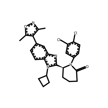 Cc1noc(C)c1-c1ccc2c(c1)nc([C@@H]1CCCC(=O)N1c1ccc(Cl)c(Cl)c1)n2C1CCC1